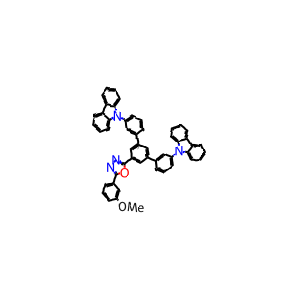 COc1cccc(-c2nnc(-c3cc(-c4cccc(-n5c6ccccc6c6ccccc65)c4)cc(-c4cccc(-n5c6ccccc6c6ccccc65)c4)c3)o2)c1